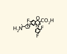 C[C@H](N)[C@@H]1CCN(c2cc3c(cc2F)c(=O)c(C(=O)O)cn3-c2ccc(F)cc2F)C1